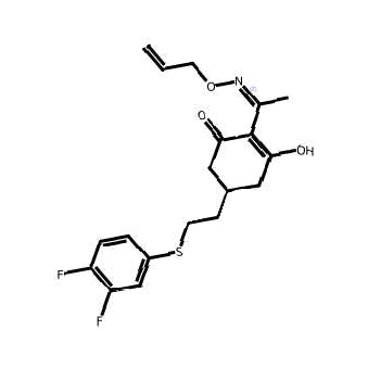 C=CCO/N=C(/C)C1=C(O)CC(CCSc2ccc(F)c(F)c2)CC1=O